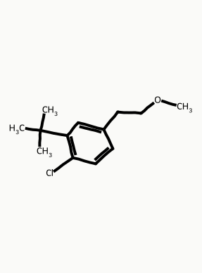 COCCc1ccc(Cl)c(C(C)(C)C)c1